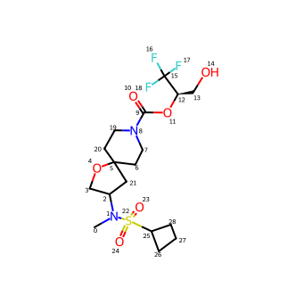 CN(C1COC2(CCN(C(=O)O[C@H](CO)C(F)(F)F)CC2)C1)S(=O)(=O)C1CCC1